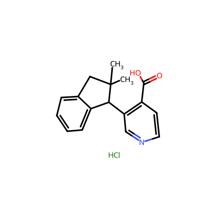 CC1(C)Cc2ccccc2C1c1cnccc1C(=O)O.Cl